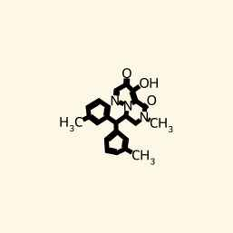 Cc1cccc(C(c2cccc(C)c2)C2CN(C)C(=O)c3c(O)c(=O)cnn32)c1